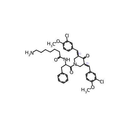 COc1ccc(/C=C2\CN(C(=O)C(Cc3ccccc3)NC(=O)CCCCCCN)C/C(=C\c3ccc(OC)c(Cl)c3)C2=O)cc1Cl